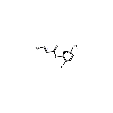 C/C=C/C(=O)Oc1cc([N+](=O)[O-])ccc1F